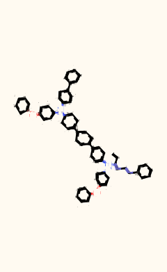 C=C/C(=C\C=C\c1ccccc1)N(c1ccc(Oc2ccccc2)cc1)c1ccc(-c2ccc(-c3ccc(N(c4ccc(Oc5ccccc5)cc4)c4ccc(-c5ccccc5)cc4)cc3)cc2)cc1